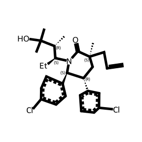 C=CC[C@@]1(C)C[C@H](c2cccc(Cl)c2)[C@@H](c2ccc(Cl)cc2)N([C@@H](CC)[C@@H](C)C(C)(C)O)C1=O